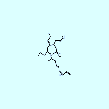 C=C/C=C\C=CCC(C)N1C(=O)CC(C=CCl)/C(=C\CC)C=C1CCC